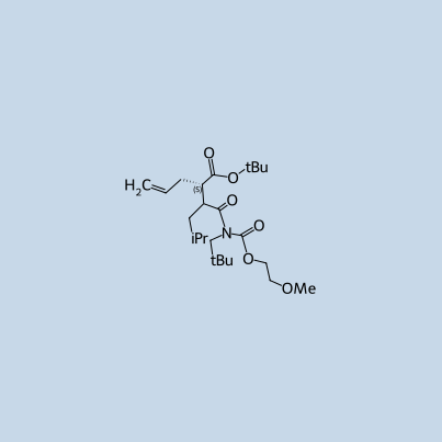 C=CC[C@H](C(=O)OC(C)(C)C)C(CC(C)C)C(=O)N(CC(C)(C)C)C(=O)OCCOC